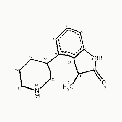 CC1C(=O)Nc2cccc(C3CCCNC3)c21